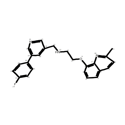 Cc1ccc2cccc(OCCNCc3cncc(-c4ccc(F)cc4)c3)c2n1